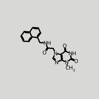 Cn1c(=O)[nH]c(=O)c2c1ncn2CC(=O)NCc1cccc2ccccc12